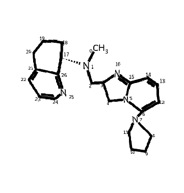 CN(CC1CN2C(N3CCCC3)=CC=CC2=N1)[C@H]1CCCc2cccnc21